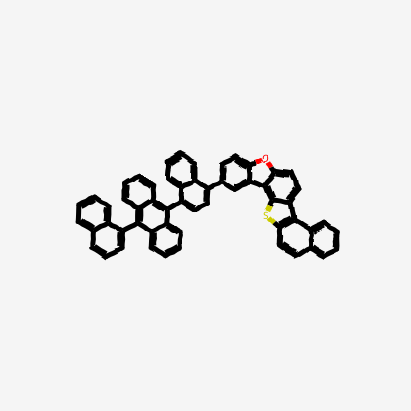 c1ccc2c(-c3c4ccccc4c(-c4ccc(-c5ccc6oc7ccc8c(sc9ccc%10ccccc%10c98)c7c6c5)c5ccccc45)c4ccccc34)cccc2c1